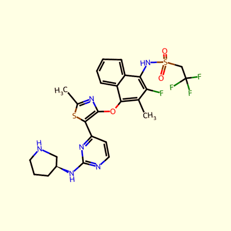 Cc1nc(Oc2c(C)c(F)c(NS(=O)(=O)CC(F)(F)F)c3ccccc23)c(-c2ccnc(N[C@H]3CCCNC3)n2)s1